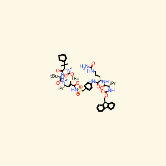 C/C(=C\[C@H](C(C)C)N(C)C(=O)[C@@H](NC(=O)[C@@H](N(C)C(=O)OC(C)(C)C)C(C)(C)c1ccccc1)C(C)(C)C)C(=O)NS(=O)(=O)Cc1ccc(NC(=O)[C@H](CCCNC(N)=O)NC(=O)[C@@H](NC(=O)OCC2c3ccccc3-c3ccccc32)C(C)C)cc1